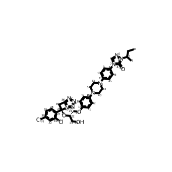 CCC(C)n1ncn(-c2ccc(N3CCN(c4ccc(OC[C@H](CO)O[C@@]5(c6ccc(Cl)cc6Cl)Cc6nnnn65)cc4)CC3)cc2)c1=O